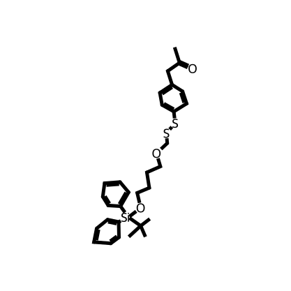 CC(=O)Cc1ccc(SSCOCCCCO[Si](c2ccccc2)(c2ccccc2)C(C)(C)C)cc1